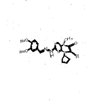 CCC1C(=O)N(C)c2cnc(N/N=C/c3ccc(OC)c(OC)c3)nc2N1C1CCCC1